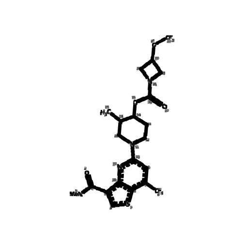 CNC(=O)c1csc2c(C(F)(F)F)cc(N3CCC(OC(=O)N4CC(OC(F)(F)F)C4)C(C)C3)nc12